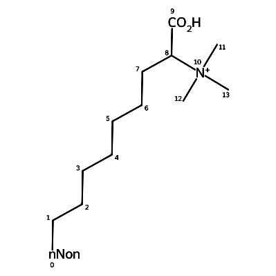 CCCCCCCCCCCCCCCCC(C(=O)O)[N+](C)(C)C